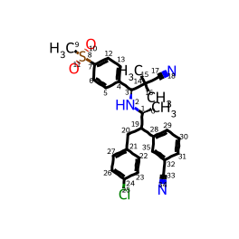 C[C@H](N[C@@H](c1ccc(S(C)(=O)=O)cc1)C(C)(C)C#N)C(Cc1ccc(Cl)cc1)c1cccc(C#N)c1